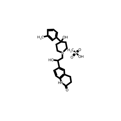 CS(=O)(=O)O.Cc1cccc(C2(O)CCN(CC(O)c3ccc4c(c3)CCC(=O)N4)CC2)c1